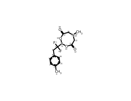 Cc1ccc(CC(F)(F)B2OC(=O)CN(C)CC(=O)O2)cc1